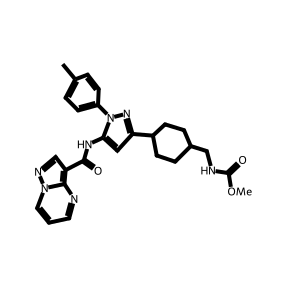 COC(=O)NCC1CCC(c2cc(NC(=O)c3cnn4cccnc34)n(-c3ccc(C)cc3)n2)CC1